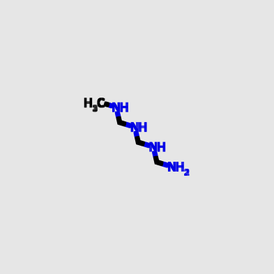 CNCNCNCN